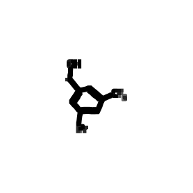 CC(C)c1cc([CH]O)cc(C(F)(F)F)c1